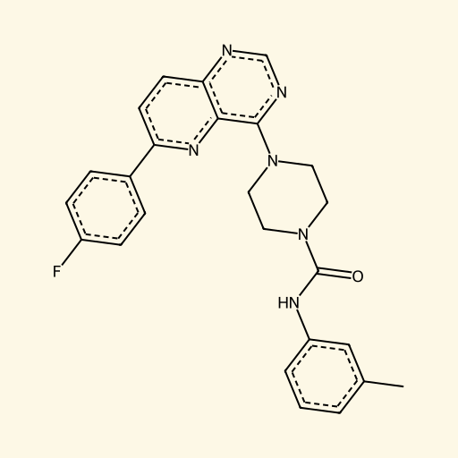 Cc1cccc(NC(=O)N2CCN(c3ncnc4ccc(-c5ccc(F)cc5)nc34)CC2)c1